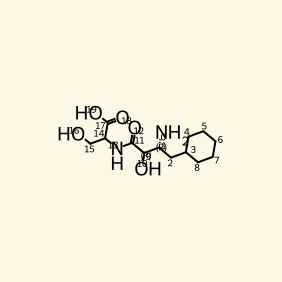 N[C@H](CC1CCCCC1)[C@@H](O)C(=O)NC(CO)C(=O)O